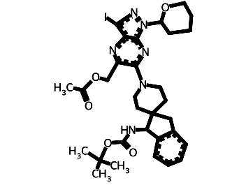 CC(=O)OCc1nc2c(I)nn(C3CCCCO3)c2nc1N1CCC2(CC1)Cc1ccccc1C2NC(=O)OC(C)(C)C